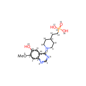 COc1cc2ncnc(N3CCC(CCP(=O)(O)O)CC3)c2cc1O